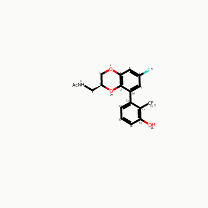 CC(=O)NC[C@H]1COc2cc(F)cc(-c3cccc(O)c3C(F)(F)F)c2O1